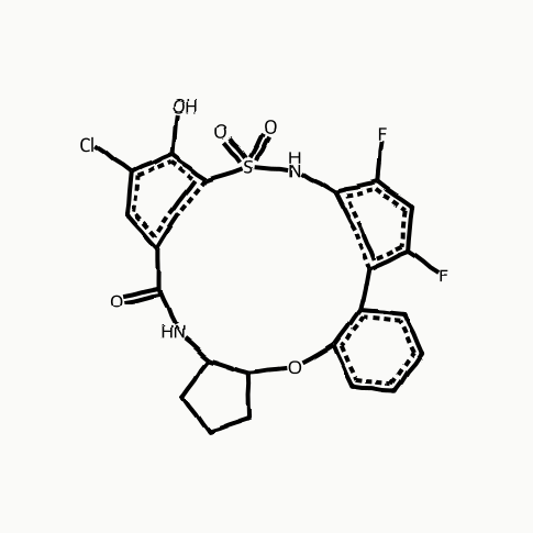 O=C1NC2CCCC2Oc2ccccc2-c2cc(c(F)cc2F)NS(=O)(=O)c2cc1cc(Cl)c2O